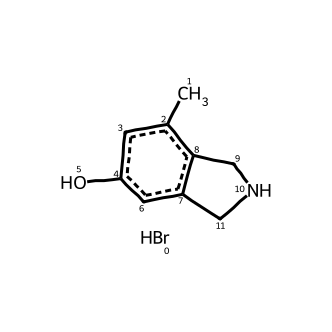 Br.Cc1cc(O)cc2c1CNC2